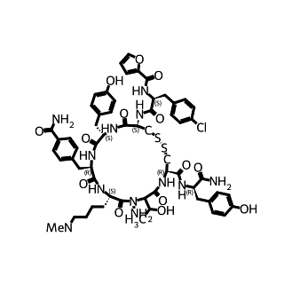 CNCCCC[C@@H]1NC(=O)[C@@H](Cc2ccc(C(N)=O)cc2)NC(=O)[C@H](Cc2ccc(O)cc2)NC(=O)[C@H](NC(=O)[C@H](Cc2ccc(Cl)cc2)NC(=O)c2ccco2)CSSC[C@@H](C(=O)N[C@H](Cc2ccc(O)cc2)C(N)=O)NC(=O)C(C(C)O)N(N)C1=O